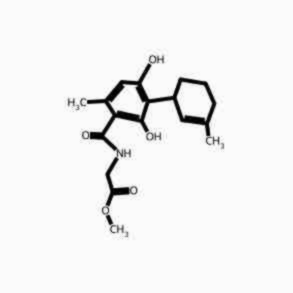 COC(=O)CNC(=O)c1c(C)cc(O)c(C2C=C(C)CCC2)c1O